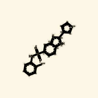 O=S(=O)(Nc1ccccc1F)c1ccc2[nH]c(-c3ccsc3)nc2c1